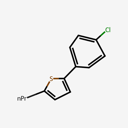 CCCc1ccc(-c2ccc(Cl)cc2)s1